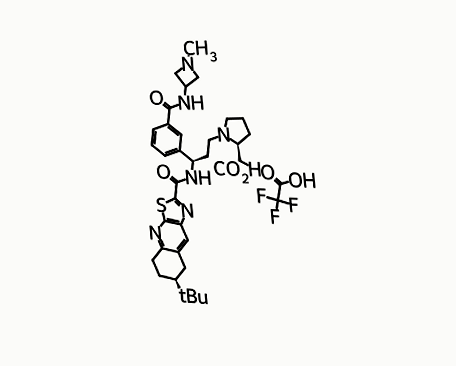 CN1CC(NC(=O)c2cccc([C@@H](CCN3CCC[C@H]3CC(=O)O)NC(=O)c3nc4cc5c(nc4s3)CC[C@H](C(C)(C)C)C5)c2)C1.O=C(O)C(F)(F)F